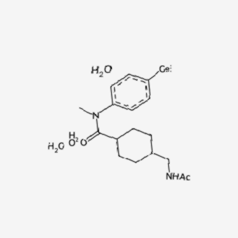 CC(=O)NCC1CCC(C(=O)N(C)c2cc[c]([Ge])cc2)CC1.O.O.O